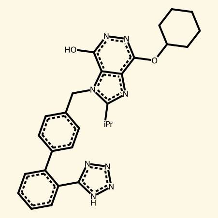 CC(C)c1nc2c(OC3CCCCC3)nnc(O)c2n1Cc1ccc(-c2ccccc2-c2nnn[nH]2)cc1